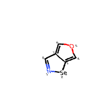 c1n[se]c2cocc12